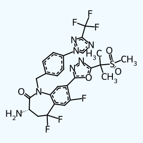 CC(C)(c1nnc(-c2cc3c(cc2F)C(F)(F)C[C@H](N)C(=O)N3Cc2ccc(-n3cnc(C(F)(F)F)n3)cc2)o1)S(C)(=O)=O